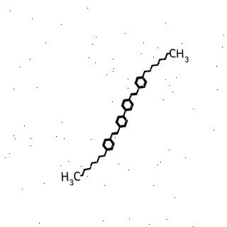 CCCCCCCCc1ccc(C=Cc2ccc(-c3ccc(C=Cc4ccc(CCCCCCCC)cc4)cc3)cc2)cc1